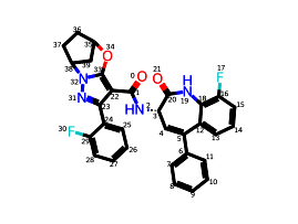 O=C(N[C@H]1C=C(c2ccccc2)c2cccc(F)c2NC1=O)c1c(-c2ccccc2F)nn2c1OC1CCC2C1